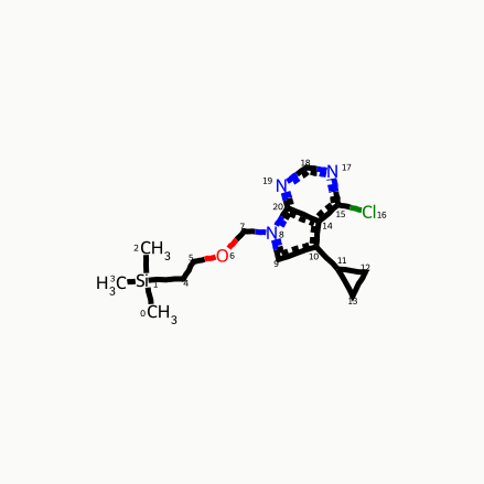 C[Si](C)(C)CCOCn1cc(C2CC2)c2c(Cl)ncnc21